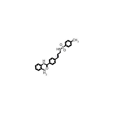 Cc1ccc(S(=O)(=O)NC/C=C/c2ccc(C(=O)Nc3ccccc3N)cc2)cc1